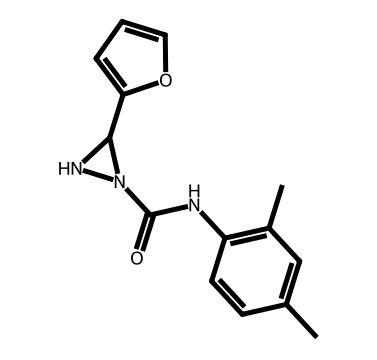 Cc1ccc(NC(=O)N2NC2c2ccco2)c(C)c1